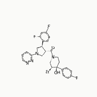 CC[C@H]1CN(C(=O)[C@@H]2CN(c3cccnn3)C[C@H]2c2ccc(F)cc2F)CC[C@]1(O)c1ccc(F)cc1